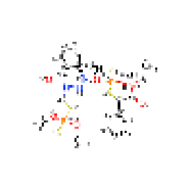 CCOC(=O)C(SP(=S)(OC)OC)c1ccccc1.COP(=S)(OC)SCn1nnc2ccccc2c1=O